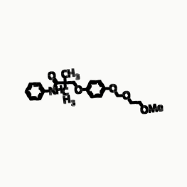 COCCOCOc1ccc(OCC(C)(C)C(=O)Nc2ccccc2)cc1